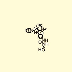 CCN1CC(C)(C)Oc2nc(N3CC4CCC(C3)O4)nc(-c3ccc(NC(=O)NCCO)cc3)c2C1=O